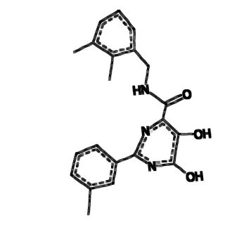 Cc1cccc(-c2nc(O)c(O)c(C(=O)NCc3cccc(C)c3C)n2)c1